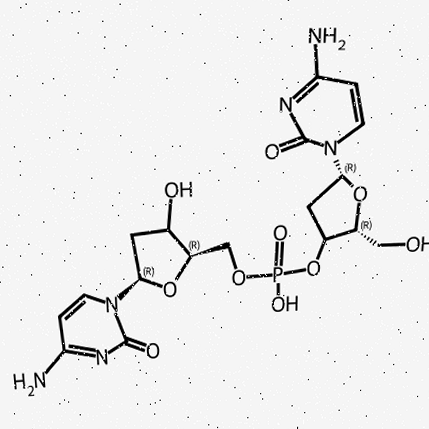 Nc1ccn([C@H]2CC(O)[C@@H](COP(=O)(O)OC3C[C@H](n4ccc(N)nc4=O)O[C@@H]3CO)O2)c(=O)n1